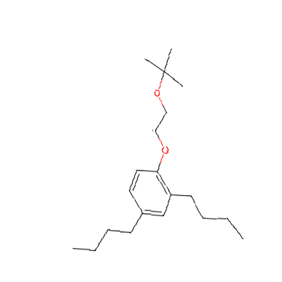 CCCCc1ccc(O[CH]COC(C)(C)C)c(CCCC)c1